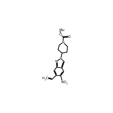 C=Cc1cc2nn(C3CCN(C(=O)OC(C)(C)C)CC3)cc2cc1[N+](=O)[O-]